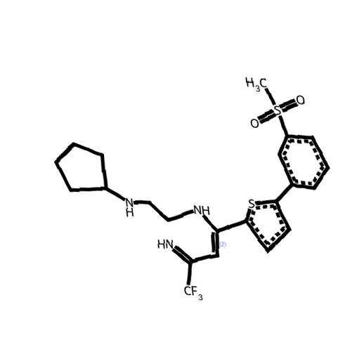 CS(=O)(=O)c1cccc(-c2ccc(/C(=C/C(=N)C(F)(F)F)NCCNC3CCCC3)s2)c1